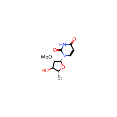 CC[C@H]1O[C@@H](n2ccc(=O)[nH]c2=O)[C@@H](OC)C1O